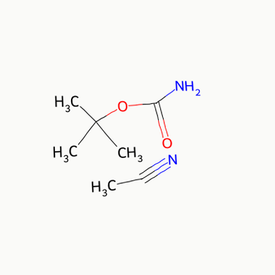 CC#N.CC(C)(C)OC(N)=O